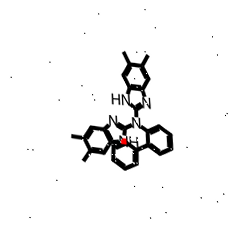 Cc1cc2nc(N(c3nc4cc(C)c(C)cc4[nH]3)c3ccccc3-c3ccccc3)[nH]c2cc1C